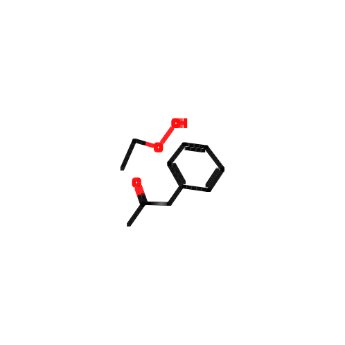 CC(=O)Cc1ccccc1.CCOO